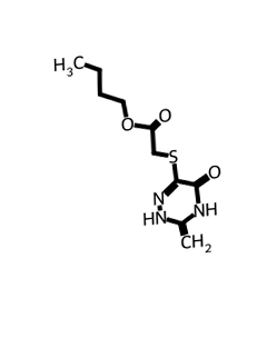 C=C1NN=C(SCC(=O)OCCCC)C(=O)N1